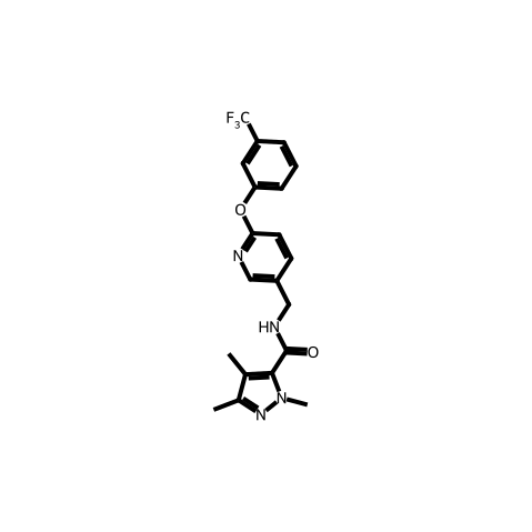 Cc1nn(C)c(C(=O)NCc2ccc(Oc3cccc(C(F)(F)F)c3)nc2)c1C